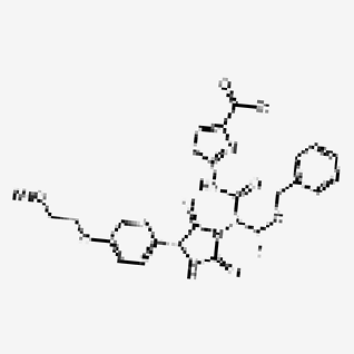 CCC(=O)c1csc(NC(=O)[C@H]([C@@H](C)OCc2ccccc2)N2C(=O)N[C@H](c3ccc(OCCOC)cc3)C2=O)n1